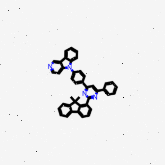 CC1(C)c2ccccc2-c2cccc(-c3nc(-c4ccccc4)cc(-c4ccc(-n5c6ccccc6c6cnccc65)cc4)n3)c21